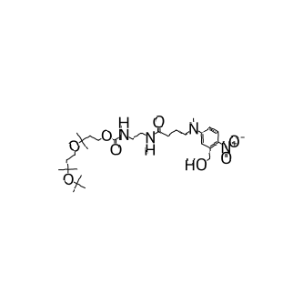 CN(CCCC(=O)NCCNC(=O)OCCC(C)(C)OCCC(C)(C)OC(C)(C)C)c1ccc([N+](=O)[O-])c(CO)c1